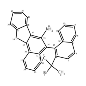 CC(C)(Br)c1ccc2ccccc2c1-c1c(N)c2c3ccccc3sc2c2ccccc12